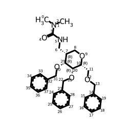 CN(C)C(=O)NC[C@@H]1CO[C@H](COCc2ccccc2)[C@H](OCc2ccccc2)[C@@H]1OCc1ccccc1